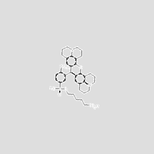 O=C(O)CCCCCOP(=O)(O)c1ccc(C(=O)O)c(C2=c3cc4c5c(c3Oc3c2cc2c6c3CCCN6CCC2)CCC[N+]=5CCC4)c1